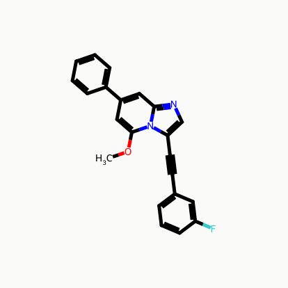 COc1cc(-c2ccccc2)cc2ncc(C#Cc3cccc(F)c3)n12